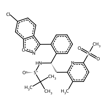 Cc1ccc(S(C)(=O)=O)nc1C[C@H](N[S@@+]([O-])C(C)(C)C)c1ccccc1-c1noc2cc(Cl)ccc12